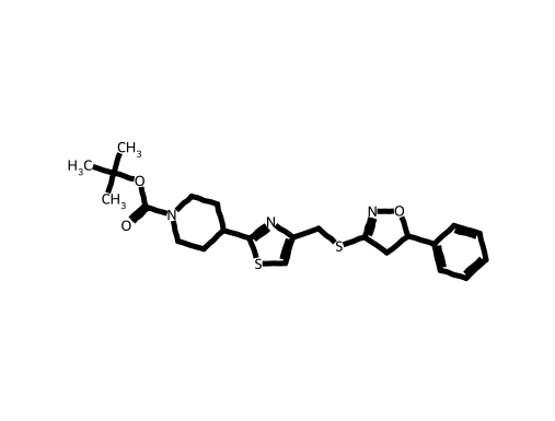 CC(C)(C)OC(=O)N1CCC(c2nc(CSC3=NOC(c4ccccc4)C3)cs2)CC1